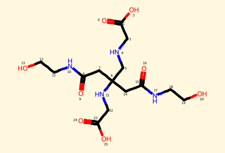 O=C(O)CNCC(CC(=O)NCCO)(CC(=O)NCCO)NCC(=O)O